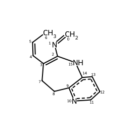 C=NC1=C(/C=C\C)CCc2ncccc2N1